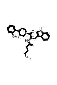 COc1ccccc1C1CCN(C(=O)[C@@H](CC2=CNC3C=CC=CC23)NC(=O)CCCN)CC1